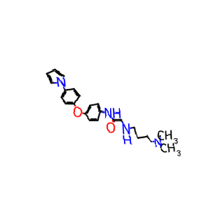 CN(C)CCCCNCC(=O)Nc1ccc(Oc2ccc(-n3cccc3)cc2)cc1